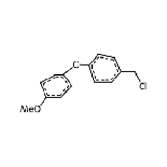 COc1ccc(Oc2ccc(CCl)cc2)cc1